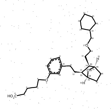 O=C(O)CCCCOc1cccc(CC[C@H]2[C@@H](CCOCC3CCCCC3)[C@H]3CC[C@@H]2O3)c1